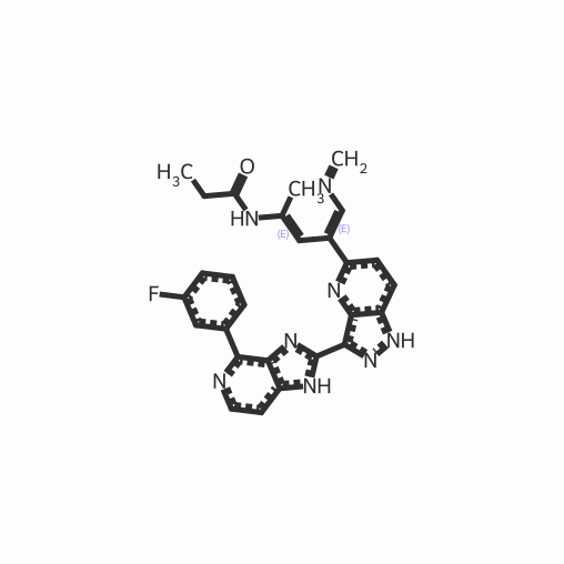 C=N/C=C(\C=C(/C)NC(=O)CC)c1ccc2[nH]nc(-c3nc4c(-c5cccc(F)c5)nccc4[nH]3)c2n1